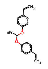 C=Cc1ccc(OC(CCC)Oc2ccc(C=C)cc2)cc1